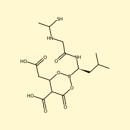 CC(C)C[C@H](NC(=O)CNC(C)S)B1OC(=O)C(C(=O)O)C(CC(=O)O)O1